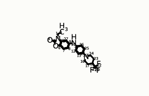 CCn1c(=O)oc2ccc(Nc3ccc(N4CCC(C(F)(F)F)CC4)cc3)cc21